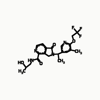 Cc1cc(C(C)N2Cc3c(ccnc3C(=O)NCC(C)O)C2=O)cnc1OCC(F)(F)F